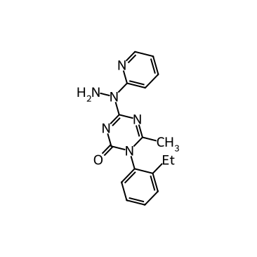 CCc1ccccc1-n1c(C)nc(N(N)c2ccccn2)nc1=O